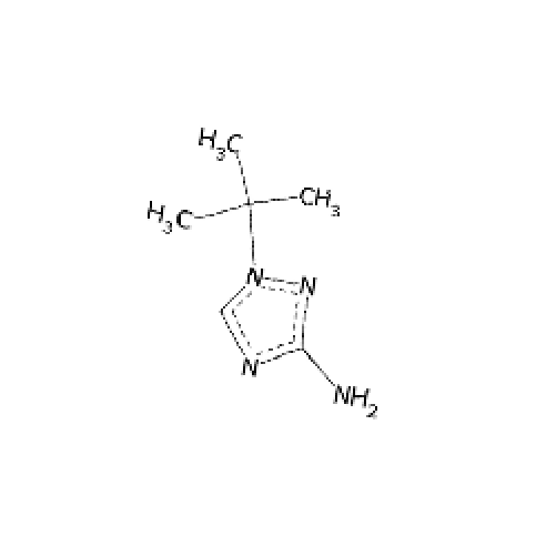 CC(C)(C)n1cnc(N)n1